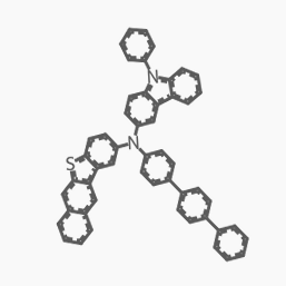 c1ccc(-c2ccc(-c3ccc(N(c4ccc5sc6cc7ccccc7cc6c5c4)c4ccc5c(c4)c4ccccc4n5-c4ccccc4)cc3)cc2)cc1